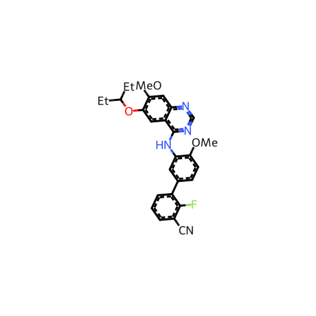 CCC(CC)Oc1cc2c(Nc3cc(-c4cccc(C#N)c4F)ccc3OC)ncnc2cc1OC